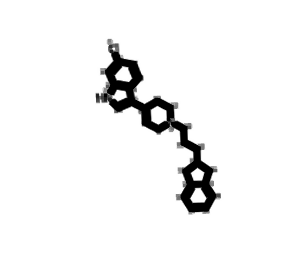 Clc1ccc2c(C3=CCN(CCCC4Cc5ccccc5C4)CC3)c[nH]c2c1